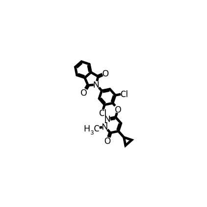 Cn1nc(Oc2c(Cl)cc(N3C(=O)c4ccccc4C3=O)cc2Cl)cc(C2CC2)c1=O